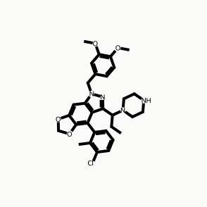 CCC(c1nn(Cc2ccc(OC)c(OC)c2)c2cc3c(c(-c4cccc(Cl)c4C)c12)OCO3)N1CCNCC1